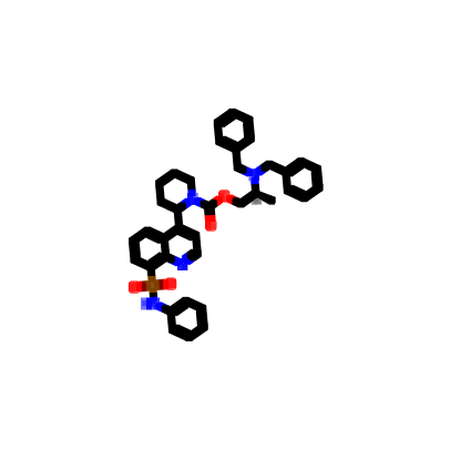 C[C@@H](COC(=O)N1CCCCC1c1ccnc2c(S(=O)(=O)Nc3ccccc3)cccc12)N(Cc1ccccc1)Cc1ccccc1